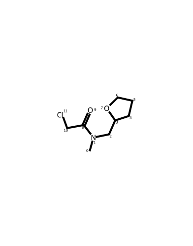 CN(CC1CCCO1)C(=O)CCl